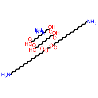 N.N.NCCCCCCCCCCCCCCCCCC(=O)OCCOC(=O)CCCCCCCCCCCCCCCCCN.O=C(O)CCCCCCCCC(=O)O.O=C(O)CCCCCCCCC(=O)O